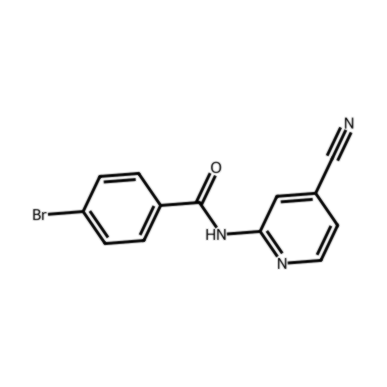 N#Cc1ccnc(NC(=O)c2ccc(Br)cc2)c1